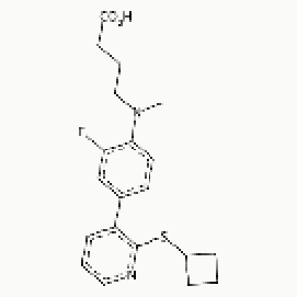 CN(CCCC(=O)O)c1ccc(-c2cccnc2SC2CCC2)cc1F